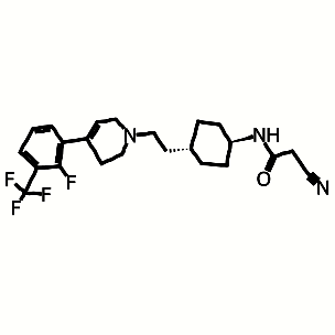 N#CCC(=O)N[C@H]1CC[C@H](CCN2CC=C(c3cccc(C(F)(F)F)c3F)CC2)CC1